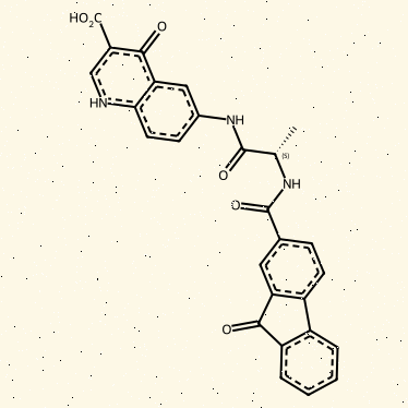 C[C@H](NC(=O)c1ccc2c(c1)C(=O)c1ccccc1-2)C(=O)Nc1ccc2[nH]cc(C(=O)O)c(=O)c2c1